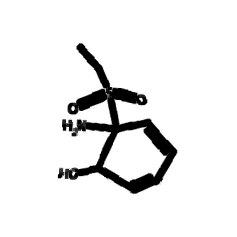 CCS(=O)(=O)C1(N)C=CC=CC1O